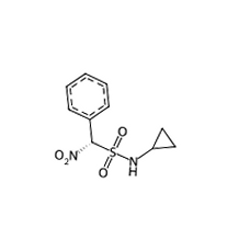 O=[N+]([O-])[C@H](c1ccccc1)S(=O)(=O)NC1CC1